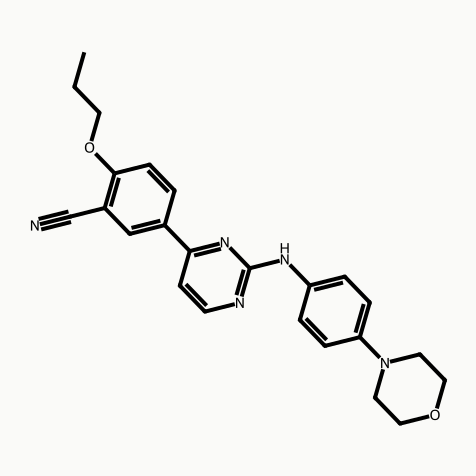 CCCOc1ccc(-c2ccnc(Nc3ccc(N4CCOCC4)cc3)n2)cc1C#N